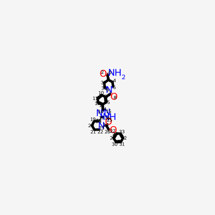 NC(=O)C1CCN(C(=O)c2cccc(-c3n[nH]c([C@H]4CCCCN4C(=O)COc4ccccc4)n3)c2)CC1